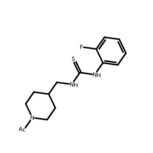 CC(=O)N1CCC(CNC(=S)Nc2ccccc2F)CC1